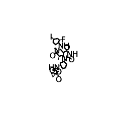 COCC1(S(=O)(=O)Nc2cccc(-n3c(=O)[nH]c(=O)c4c(Nc5ccc(I)cc5F)n(C)c(=O)c(C)c43)c2)CC1